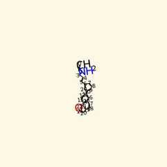 C=CNC/C=C/c1cccc(-c2ccc3c(c2)C=CC2C=COC32)c1